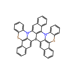 c1ccc2c(c1)Sc1c3c(cc4ccccc14)B1c4cc5ccccc5c5c4N(c4ccccc4S5)c4c1c(cc1ccccc41)N23